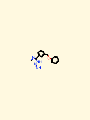 C/N=C(\NN=N)c1cccc(COc2ccccc2)c1